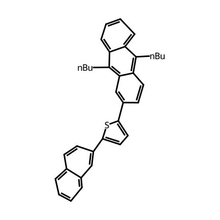 CCCCc1c2ccccc2c(CCCC)c2cc(-c3ccc(-c4ccc5ccccc5c4)s3)ccc12